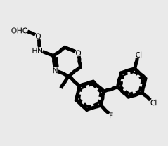 CC1(c2ccc(F)c(-c3cc(Cl)cc(Cl)c3)c2)COCC(NOC=O)=N1